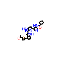 CC(=O)c1ccc(-c2cccc3[nH]c(-c4n[nH]c5ccc(-c6cncc(NC(=O)C7CCCCC7)c6)nc45)cc23)s1